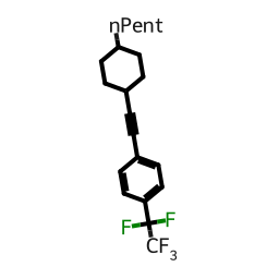 CCCCCC1CCC(C#Cc2ccc(C(F)(F)C(F)(F)F)cc2)CC1